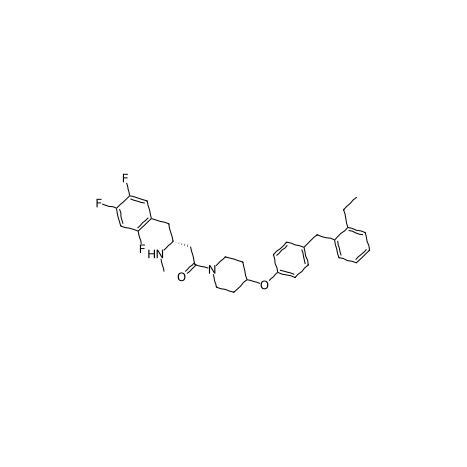 CCc1ccccc1Cc1ccc(OC2CCN(C(=O)C[C@@H](Cc3cc(F)c(F)cc3F)NC)CC2)cc1